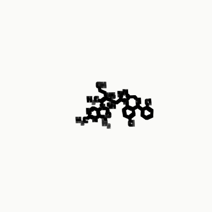 CC(=C(CCO)S(S)(S)Cc1nnc2n1-c1ccc(Cl)cc1C(c1ccccc1Cl)=NC2)N(C=O)c1cnc(C)nc1N